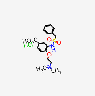 CN(C)CCOc1ccc(C(=O)O)cc1NS(=O)(=O)Cc1ccccc1.Cl